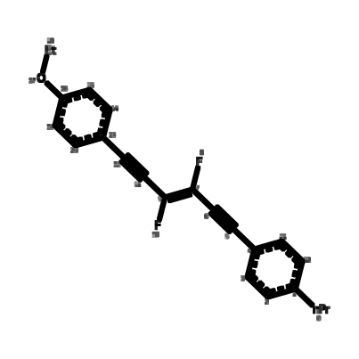 CCCc1ccc(C#C/C(F)=C(\F)C#Cc2ccc(OCC)cc2)cc1